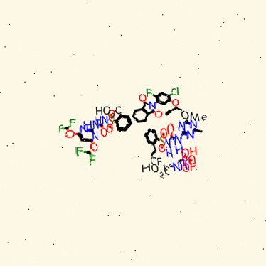 C#CC(C)Oc1cc(N2C(=O)C3=C(CCCC3)C2=O)c(F)cc1Cl.COc1nc(C)nc(NC(=O)NS(=O)(=O)c2ccccc2CCC(F)(F)F)n1.O=C(Nc1nc(OC(F)F)cc(OC(F)F)n1)NS(=O)(=O)c1ccccc1C(=O)O.O=C(O)CNCP(=O)(O)O